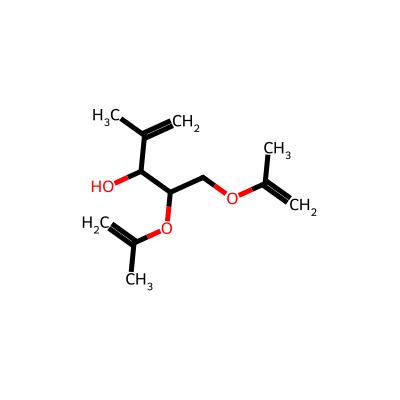 C=C(C)OCC(OC(=C)C)C(O)C(=C)C